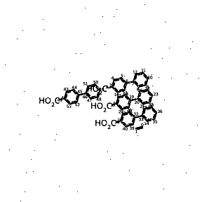 C=C.O=C(O)c1ccc(-c2ccccc2)cc1.O=C(O)c1ccc(-c2ccccc2)cc1.O=C(O)c1ccc(-c2ccccc2)cc1.O=C(O)c1ccc(-c2ccccc2)cc1